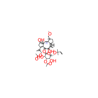 C=CC(C)(C)OC[C@H]1O[C@H](O[C@@H]2C3=C([C@H](C)COC(C)=O)C[C@H](O)[C@]3(C)/C=C3/[C@@H](COC)CC[C@H]3[C@@H](C)[C@H]2O)C(O)C(OC(C)=O)C1O